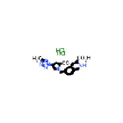 Cc1nnn(C2CC(C(=O)O)N(CC3CCC4CNC(C(=O)O)CC4C3)C2)n1.Cl.Cl